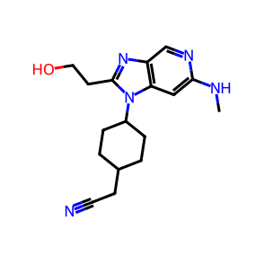 CNc1cc2c(cn1)nc(CCO)n2C1CCC(CC#N)CC1